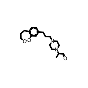 CC([C]=O)N1CCN(CCCc2ccc3c(c2)OOCCC3)CC1